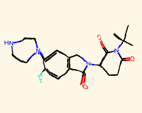 CC(C)(C)N1C(=O)CCC(N2Cc3cc(N4CCNCC4)c(F)cc3C2=O)C1=O